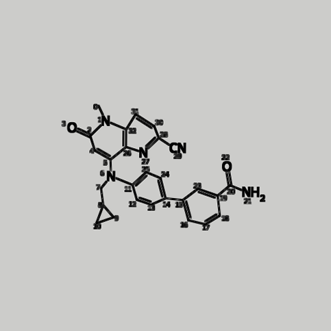 Cn1c(=O)cc(N(CC2CC2)c2ccc(-c3cccc(C(N)=O)c3)cc2)c2nc(C#N)ccc21